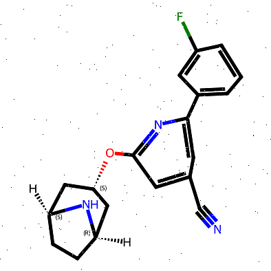 N#Cc1cc(O[C@@H]2C[C@H]3CC[C@@H](C2)N3)nc(-c2cccc(F)c2)c1